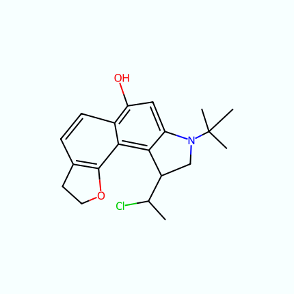 CC(Cl)C1CN(C(C)(C)C)c2cc(O)c3ccc4c(c3c21)OCC4